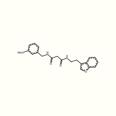 COc1cccc(CNC(=O)CC(=O)N[CH]Cc2coc3ccccc23)c1